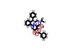 CC(C)N1C[C@H](C(c2ccccc2)c2ccccc2)n2ncc(=O)c(OC(=O)C3CCCCC3)c2C1=O